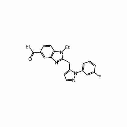 CCC(=O)c1ccc2c(c1)nc(Cc1ccnn1-c1cccc(F)c1)n2CC